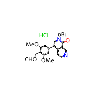 CCCCn1cc(-c2cc(OC)c(CC=O)c(OC)c2)c2ccncc2c1=O.Cl